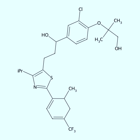 CC1CC(C(F)(F)F)=CC=C1c1nc(C(C)C)c(CCC(O)c2ccc(OC(C)(C)CO)c(Cl)c2)s1